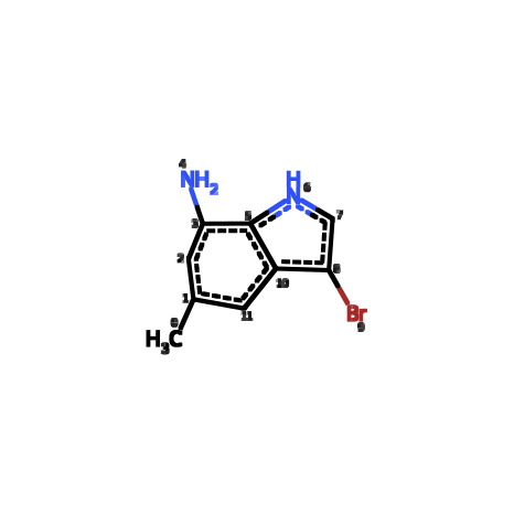 Cc1cc(N)c2[nH]cc(Br)c2c1